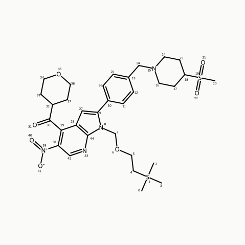 CS(C)(C)CCOCn1c(-c2ccc(CN3CCC(S(C)(=O)=O)CC3)cc2)cc2c(C(=O)C3CCOCC3)c([N+](=O)[O-])cnc21